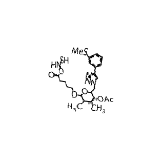 CSc1cccc(-c2cn(CC3OC(OCCCCC(=O)ONS)C(C)[C@@H](C)[C@H]3OC(C)=O)nn2)c1